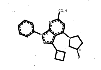 O=C(O)c1cc(N2CC[C@@H](F)C2)c2c(C3CCC3)nn(-c3ccccc3)c2n1